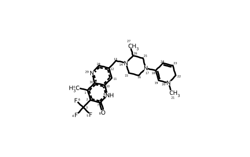 Cc1c(C(F)(F)F)c(=O)[nH]c2cc(CN3CCN(C4=CN(C)CC=C4)CC3C)cnc12